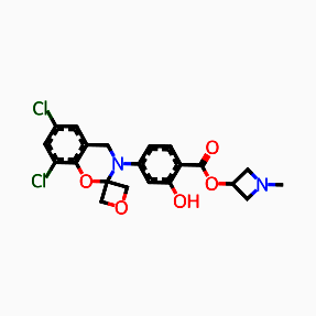 CN1CC(OC(=O)c2ccc(N3Cc4cc(Cl)cc(Cl)c4OC34COC4)cc2O)C1